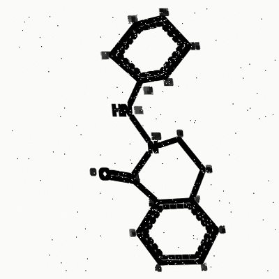 O=C1c2ccccc2CCN1Nc1ccccc1